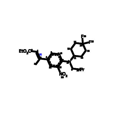 CCOC(=O)/C=C(\C)c1cnc(N(CC(C)C)C2CCC(F)(F)CC2)c([N+](=O)[O-])c1